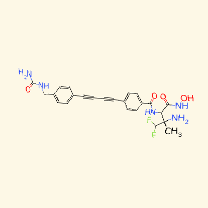 CC(N)(C(F)F)C(NC(=O)c1ccc(C#CC#Cc2ccc(CNC(N)=O)cc2)cc1)C(=O)NO